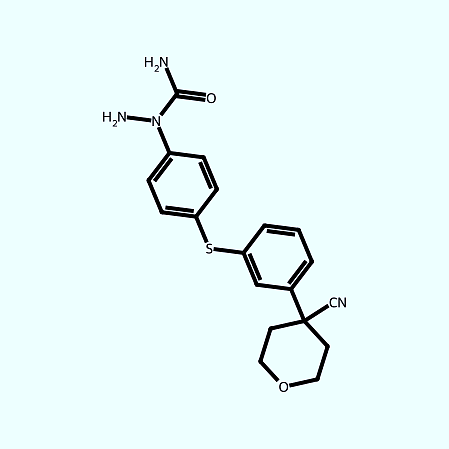 N#CC1(c2cccc(Sc3ccc(N(N)C(N)=O)cc3)c2)CCOCC1